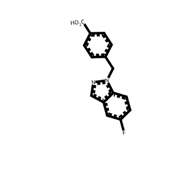 O=C(O)c1ccc(Cn2ncc3cc(F)ccc32)cc1